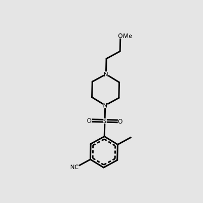 COCCN1CCN(S(=O)(=O)c2cc(C#N)ccc2C)CC1